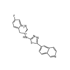 NC[C@H](Cc1ccc(F)cc1)Nc1nnc(-c2ccc3cnccc3c2)s1